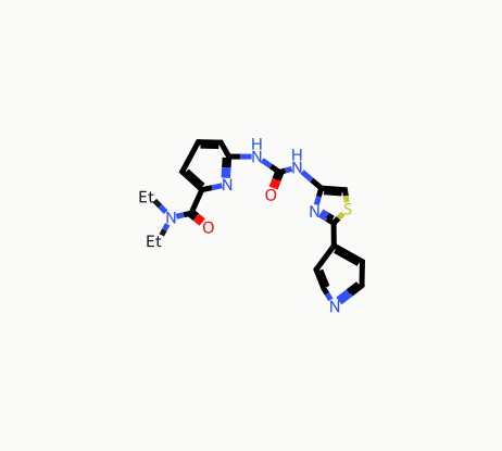 CCN(CC)C(=O)c1cccc(NC(=O)Nc2csc(-c3ccncc3)n2)n1